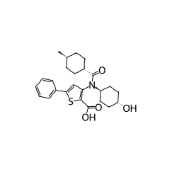 C[C@H]1CC[C@H](C(=O)N(c2cc(-c3ccccc3)sc2C(=O)O)[C@H]2CC[C@H](O)CC2)CC1